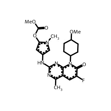 COC(=O)Oc1cc(Nc2nc(C)c3cc(F)c(=O)n(C4CCC(OC)CC4)c3n2)cn1C